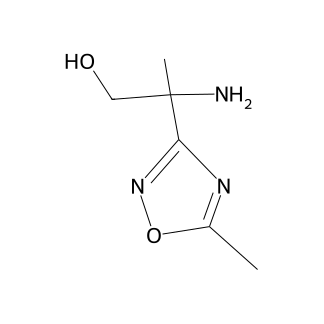 Cc1nc(C(C)(N)CO)no1